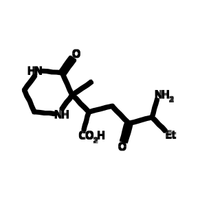 CCC(N)C(=O)CC(C(=O)O)C1(C)NCCNC1=O